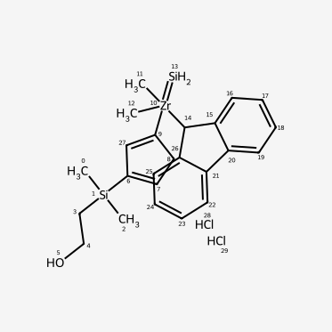 C[Si](C)(CCO)C1=CC[C]([Zr]([CH3])([CH3])(=[SiH2])[CH]2c3ccccc3-c3ccccc32)=C1.Cl.Cl